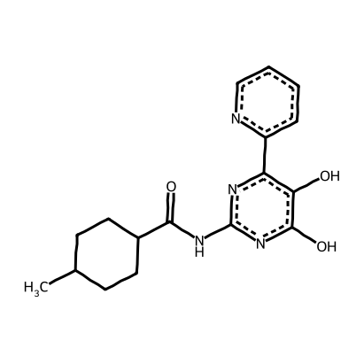 CC1CCC(C(=O)Nc2nc(O)c(O)c(-c3ccccn3)n2)CC1